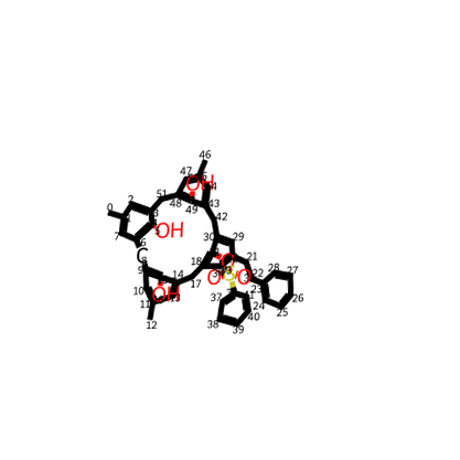 Cc1cc2c(O)c(c1)Cc1cc(C)cc(c1O)Cc1cc(CCc3ccccc3)cc(c1OS(=O)(=O)c1ccccc1)Cc1cc(C)cc(c1O)C2